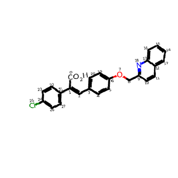 O=C(O)/C(=C\c1ccc(OCc2ccc3ccccc3n2)cc1)c1ccc(Cl)cc1